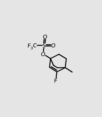 CC12CCC(OS(=O)(=O)C(F)(F)F)(C=C1F)CC2